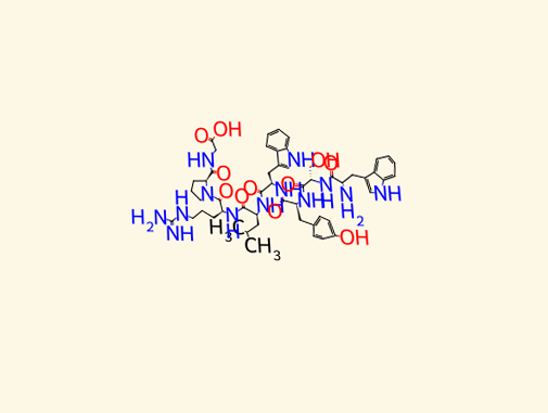 CC(C)C[C@H](NC(=O)[C@@H](Cc1c[nH]c2ccccc12)NC(=O)[C@H](Cc1ccc(O)cc1)NC(=O)[C@H](CO)NC(=O)[C@@H](N)Cc1c[nH]c2ccccc12)C(=O)N[C@@H](CCCNC(=N)N)C(=O)N1CCC[C@H]1C(=O)NCC(=O)O